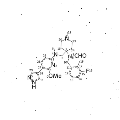 COc1nc(N(C)CC2(N(C=O)Cc3cccc(F)c3C)CCN(C)CC2)ccc1-c1cn[nH]c1